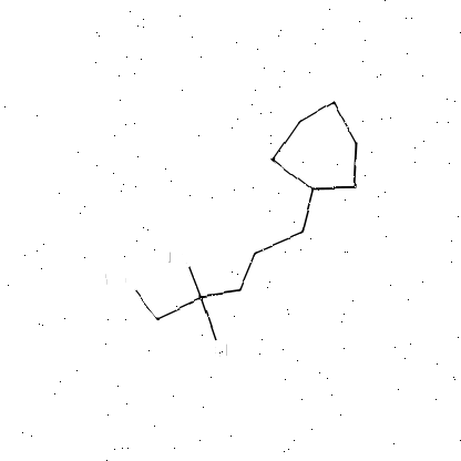 CCC(C)(C)[CH]CCC1CCCCC1